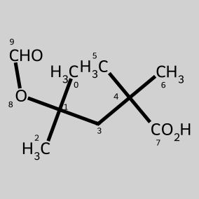 CC(C)(CC(C)(C)C(=O)O)OC=O